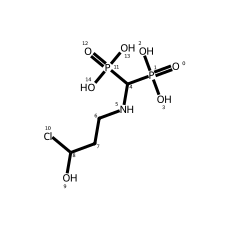 O=P(O)(O)C(NCCC(O)Cl)P(=O)(O)O